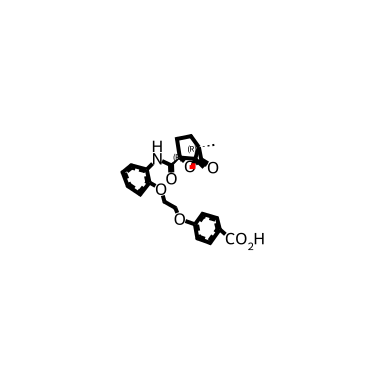 CC1(C)[C@@]2(C)CC[C@@]1(C(=O)Nc1ccccc1OCCOc1ccc(C(=O)O)cc1)OC2=O